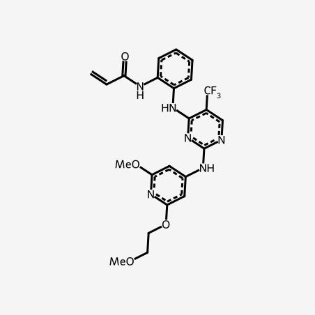 C=CC(=O)Nc1ccccc1Nc1nc(Nc2cc(OC)nc(OCCOC)c2)ncc1C(F)(F)F